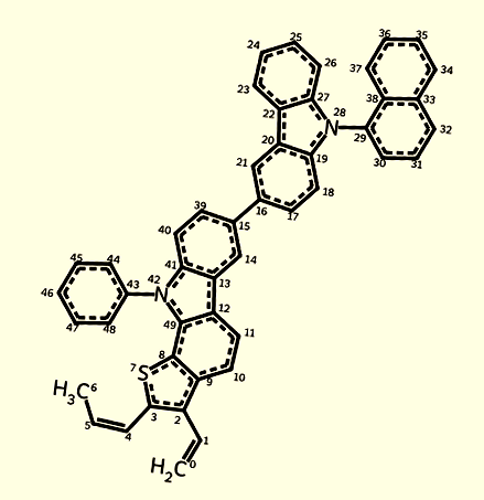 C=Cc1c(/C=C\C)sc2c1ccc1c3cc(-c4ccc5c(c4)c4ccccc4n5-c4cccc5ccccc45)ccc3n(-c3ccccc3)c12